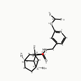 O=C(NCc1ccnc(OC(F)F)c1)NC1[C@@H]2CC[C@H]1CC(F)(F)C2